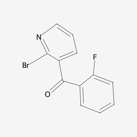 O=C(c1ccccc1F)c1cccnc1Br